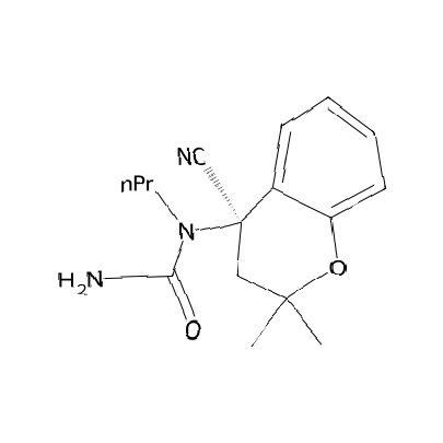 CCCN(C(N)=O)[C@]1(C#N)CC(C)(C)Oc2ccccc21